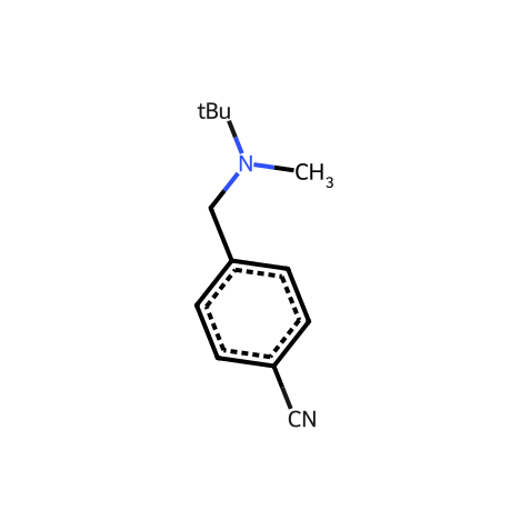 CN(Cc1ccc(C#N)cc1)C(C)(C)C